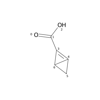 O=C(O)C1=C2CC21